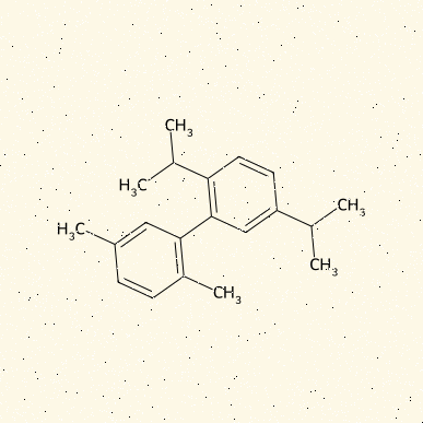 Cc1ccc(C)c(-c2cc(C(C)C)ccc2C(C)C)c1